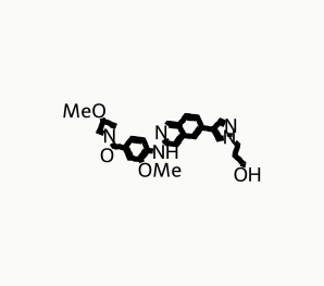 COc1cc(C(=O)N2CC(OC)C2)ccc1Nc1cc2cc(-c3cnn(CCCO)c3)ccc2cn1